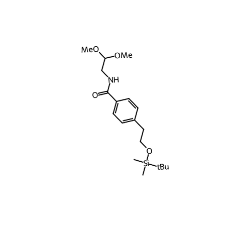 COC(CNC(=O)c1ccc(CCO[Si](C)(C)C(C)(C)C)cc1)OC